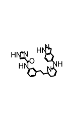 O=C(Nc1cccc(CCC2CC=CC(Nc3ccc4[nH]ncc4c3)=N2)c1)c1c[nH]cn1